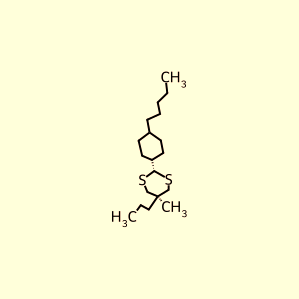 CCCCCC1CCC([C@H]2SC[C@](C)(CCC)CS2)CC1